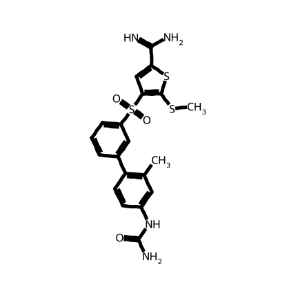 CSc1sc(C(=N)N)cc1S(=O)(=O)c1cccc(-c2ccc(NC(N)=O)cc2C)c1